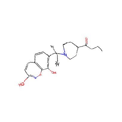 [2H]C([2H])(c1ccc2c(c1O)ON=C(O)C=C2)N1CCC(C(=O)CCC)CC1